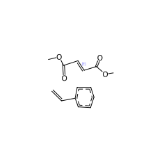 C=Cc1ccccc1.COC(=O)/C=C/C(=O)OC